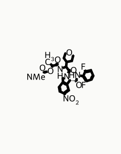 CNC(=O)OC(C)C(=O)NC(C(=O)N1Cc2ccc([N+](=O)[O-])cc2[C@H]1C(=O)Nc1c(F)cccc1F)C1CCOCC1